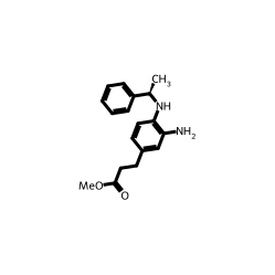 COC(=O)CCc1ccc(N[C@H](C)c2ccccc2)c(N)c1